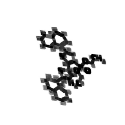 CCOP(=O)(OCC)c1cc(-c2cccc3ccccc23)sc1-c1ccc(-c2cccc3ccccc23)s1